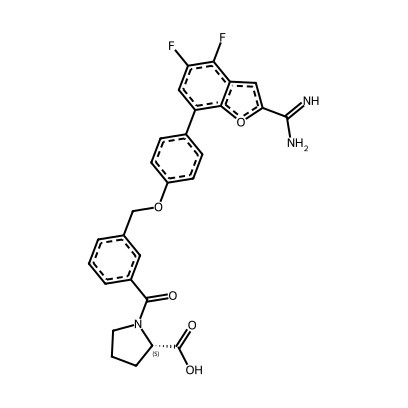 N=C(N)c1cc2c(F)c(F)cc(-c3ccc(OCc4cccc(C(=O)N5CCC[C@H]5C(=O)O)c4)cc3)c2o1